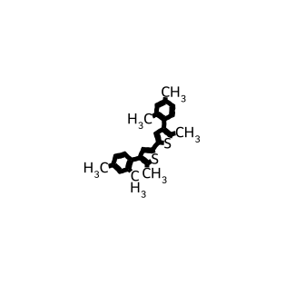 Cc1ccc(-c2cc(-c3cc(-c4ccc(C)cc4C)c(C)s3)sc2C)c(C)c1